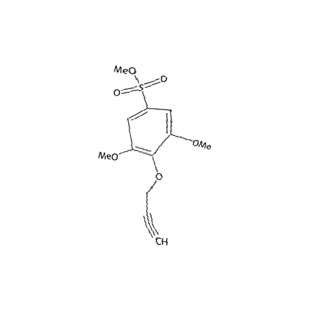 C#CCOc1c(OC)cc(S(=O)(=O)OC)cc1OC